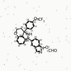 O=COn1ncc2cc(C(=O)NC3(c4ccc(OC(F)(F)F)cc4)CCOc4cccnc43)ccc21